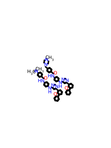 CN(C)c1ccc(C(=O)Nc2ccc(Nc3cc(-c4cccc5c4oc4ccccc45)ncn3)cc2)cc1.CN1CCN(Cc2ccc(C(=O)Nc3ccc(Nc4cc(-c5cccc6c5oc5ccccc56)ncn4)cc3)cc2)CC1